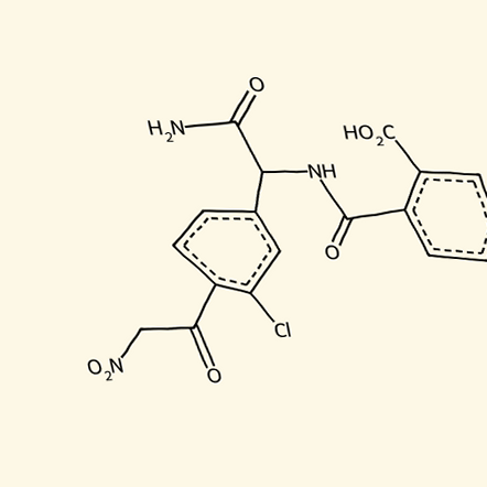 NC(=O)C(NC(=O)c1ccccc1C(=O)O)c1ccc(C(=O)C[N+](=O)[O-])c(Cl)c1